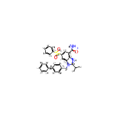 CC(C)c1nc2c(C(N)=O)cc(S(=O)(=O)c3ccccc3)cc2n1Cc1ccc(-c2ccccc2)cc1